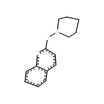 c1ccc2nc(ON3CCCCC3)ccc2c1